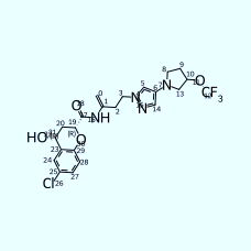 C=C(CCn1cc(N2CCC(OC(F)(F)F)C2)cn1)NC(=O)[C@H]1C[C@@H](O)c2cc(Cl)ccc2O1